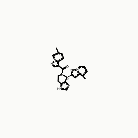 Cc1ccc2c(C(=O)N3CCc4[nH]cnc4[C@@H]3c3cc4c(C)cccn4n3)cnn2c1